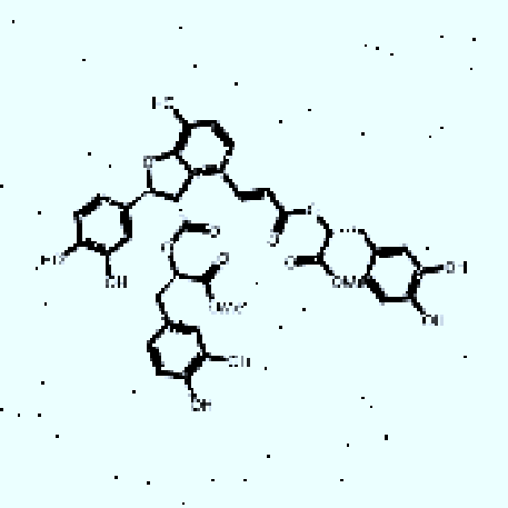 COC(=O)[C@@H](Cc1ccc(O)c(O)c1)OC(=O)/C=C/c1ccc(O)c2c1[C@H](C(=O)O[C@H](Cc1ccc(O)c(O)c1)C(=O)OC)[C@@H](c1ccc(O)c(O)c1)O2